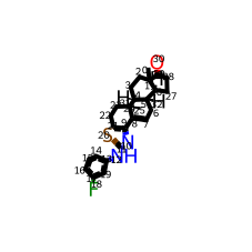 CC12CC[C@H]3[C@@H](CC=C4c5nc(Nc6cccc(F)c6)sc5CC[C@@]43C)[C@@H]1CCC2=O